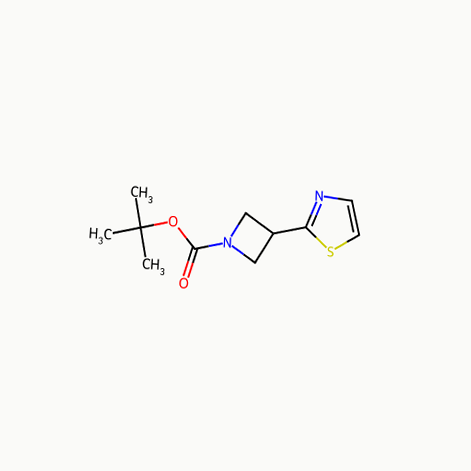 CC(C)(C)OC(=O)N1CC(c2nccs2)C1